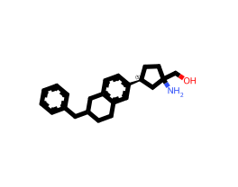 NC1(CO)CC[C@H](c2ccc3c(c2)CCC(Cc2ccccc2)C3)C1